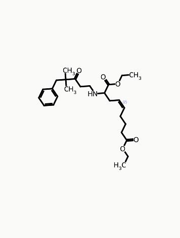 CCOC(=O)CCC/C=C\CC(NCCC(=O)C(C)(C)Cc1ccccc1)C(=O)OCC